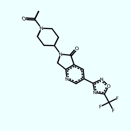 CC(=O)N1CCC(N2Cc3ncc(-c4noc(C(F)(F)F)n4)cc3C2=O)CC1